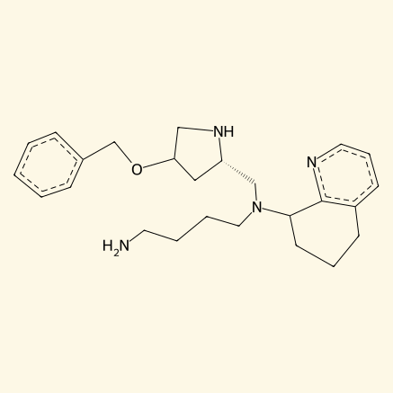 NCCCCN(C[C@@H]1CC(OCc2ccccc2)CN1)C1CCCc2cccnc21